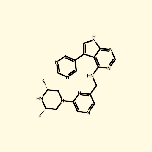 C[C@@H]1CN(c2cncc(CNc3ncnc4[nH]cc(-c5cncnc5)c34)n2)C[C@H](C)N1